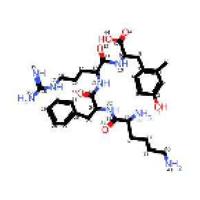 Cc1cc(O)ccc1CC(NC(=O)C(CCCNC(=N)N)NC(=O)C(Cc1ccccc1)NC(=O)C(N)CCCCN)C(=O)O